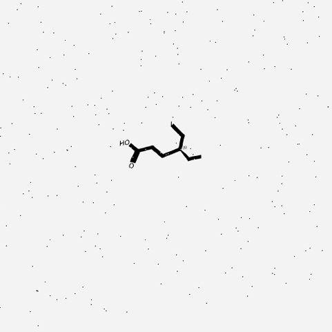 CC[C@H](CI)CCC(=O)O